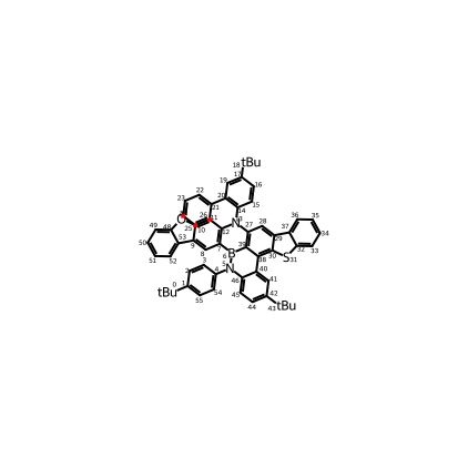 CC(C)(C)c1ccc(N2B3c4cc5c(cc4N(c4ccc(C(C)(C)C)cc4-c4ccccc4)c4cc6c(sc7ccccc76)c(c43)-c3cc(C(C)(C)C)ccc32)oc2ccccc25)cc1